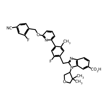 Cc1cc(Cc2nc3ccc(C(=O)O)cc3n2C2COCC2(C)C)c(F)cc1-c1cccc(OCc2ccc(C#N)cc2F)n1